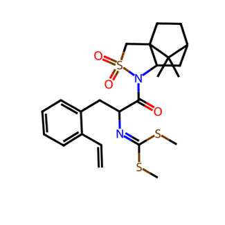 C=Cc1ccccc1CC(N=C(SC)SC)C(=O)N1C2CC3CCC2(CS1(=O)=O)C3(C)C